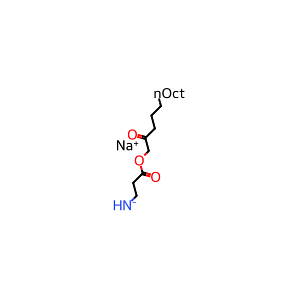 CCCCCCCCCCCC(=O)COC(=O)CC[NH-].[Na+]